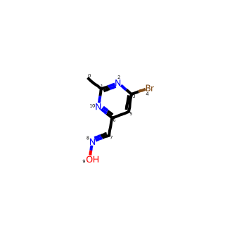 Cc1nc(Br)cc(/C=N/O)n1